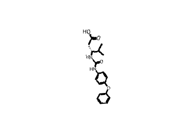 CC(C)[C@@H](CC(=O)O)NC(=O)Nc1ccc(Oc2ccccc2)cc1